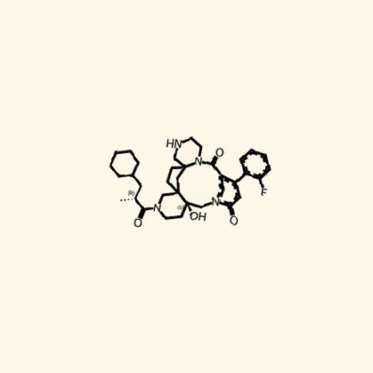 C[C@H](CC1CCCCC1)C(=O)N1CC[C@@]2(O)Cn3cc(c(-c4ccccc4F)cc3=O)C(=O)N3CCNCC34CCC2(C1)C4